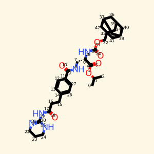 CC(C)OC(=O)[C@H](CNC(=O)c1ccc(CCC(=O)NC2=NCCCN2)cc1)NC(=O)OCC12CC3CC(CC(C3)C1)C2